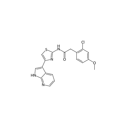 COc1ccc(CC(=O)Nc2nc(-c3c[nH]c4ncccc34)cs2)c(Cl)c1